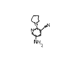 N#Cc1cc(N)cnc1N1CCCC1